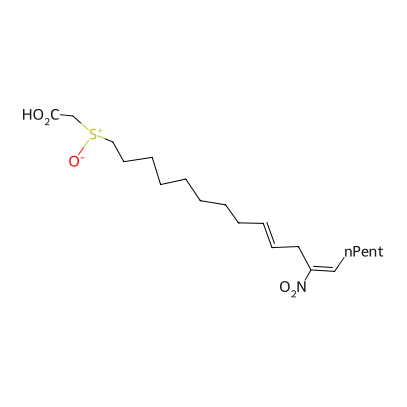 CCCCCC=C(CC=CCCCCCCCC[S+]([O-])CC(=O)O)[N+](=O)[O-]